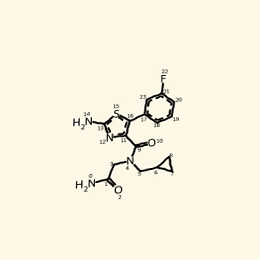 NC(=O)CN(CC1CC1)C(=O)c1nc(N)sc1-c1cccc(F)c1